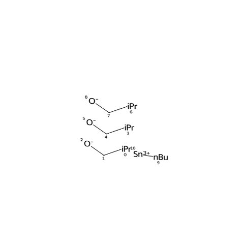 CC(C)C[O-].CC(C)C[O-].CC(C)C[O-].CCC[CH2][Sn+3]